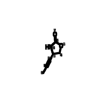 CC#C[C@@H]1COC(=O)N1